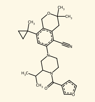 CC(C)C1CN(c2cc(C3(C)CC3)c3c(c2C#N)CC(C)(C)OC3)CCN1C(=O)c1ccoc1